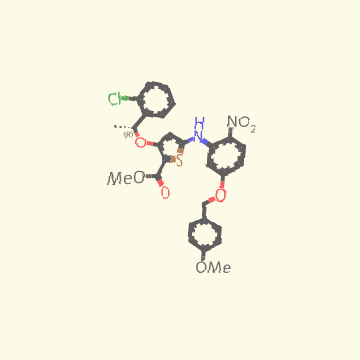 COC(=O)c1sc(Nc2cc(OCc3ccc(OC)cc3)ccc2[N+](=O)[O-])cc1O[C@H](C)c1ccccc1Cl